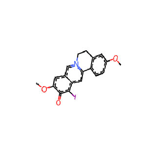 COc1ccc2c(c1)CCn1cc3cc(OC)c(=O)c(I)c-3cc1-2